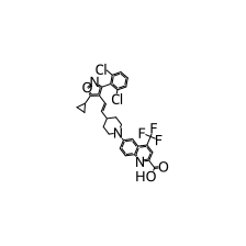 O=C(O)c1cc(C(F)(F)F)c2cc(N3CCC(C=Cc4c(-c5c(Cl)cccc5Cl)noc4C4CC4)CC3)ccc2n1